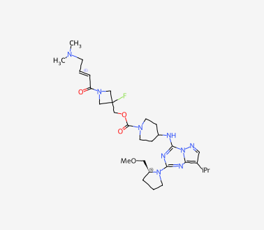 COC[C@@H]1CCCN1c1nc(NC2CCN(C(=O)OCC3(F)CN(C(=O)/C=C/CN(C)C)C3)CC2)n2ncc(C(C)C)c2n1